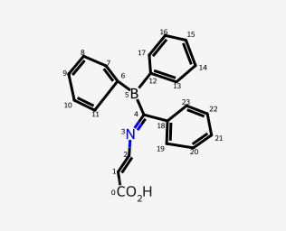 O=C(O)C=CN=C(B(c1ccccc1)c1ccccc1)c1ccccc1